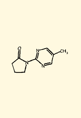 Cc1cnc(N2CCCC2=O)nc1